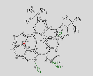 CC(C)(C)c1ccc2c(c1)-c1cc(C(C)(C)C)c[c]([Zr]([C]3=CC=CC3)=[C](c3cc(Cl)cc4ccccc34)c3cc(Cl)cc4ccccc34)c1C2.Cl.Cl